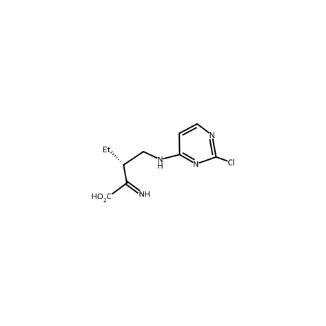 CC[C@H](CNc1ccnc(Cl)n1)C(=N)C(=O)O